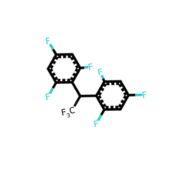 Fc1cc(F)c(C(c2c(F)cc(F)cc2F)C(F)(F)F)c(F)c1